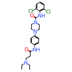 CCN(CC)CCC(=O)Nc1ccc(N2CCN(C(=O)Nc3c(Cl)cccc3Cl)CC2)cc1